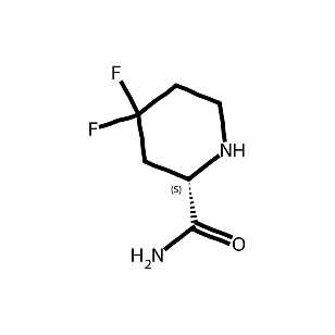 NC(=O)[C@@H]1CC(F)(F)CCN1